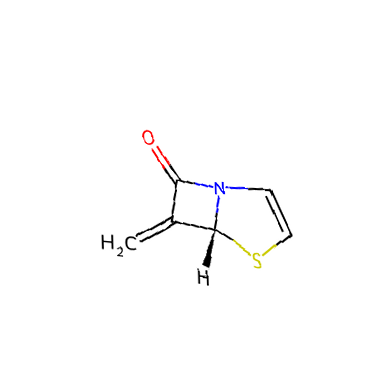 C=C1C(=O)N2C=CS[C@H]12